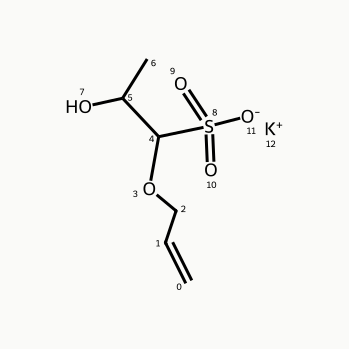 C=CCOC(C(C)O)S(=O)(=O)[O-].[K+]